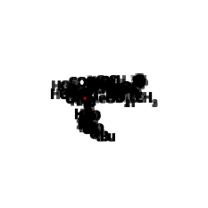 CC[C@H](C)[C@H](NC(=O)[C@H]1CCCC[N+]1(C)Cc1ccc(O[C@@H]2O[C@H](C(=O)O)[C@@H](O)[C@H](O)[C@H]2O)c(NC(=O)CCNC(=O)[C@H](CNC(=O)OC(C)(C)C)N2C(=O)C=CC2=O)c1)C(=O)N(C)[C@H](C[C@@H](OC)c1nc(C(=O)N[C@@H](Cc2ccccc2)C[C@H](C)C(=O)O)cs1)C(C)C